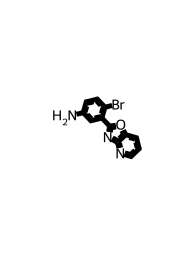 Nc1ccc(Br)c(-c2nc3ncccc3o2)c1